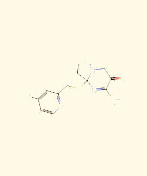 CCC1(SCc2cc(C)ccn2)N=C(C)C(=O)CN1